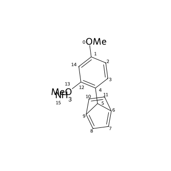 COc1ccc(C2C3=CC=C2C=C3)c(OC)c1.N